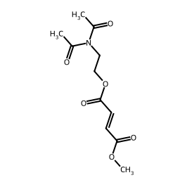 COC(=O)/C=C/C(=O)OCCN(C(C)=O)C(C)=O